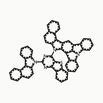 c1ccc2c(c1)ccc1c2c2ccccc2n1-c1nc(-n2c3ccc4ccccc4c3c3cc4c5ccccc5n5c6ccccc6c(c32)c45)c2sc3ccccc3c2n1